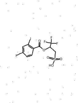 O=C(OC(CS(=O)(=O)O)C(F)(F)F)c1ccc(I)cc1I